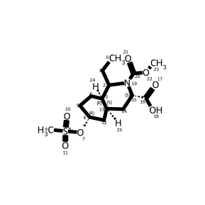 CCC1[C@@H]2CC[C@@H](OS(C)(=O)=O)C[C@@H]2C[C@@H](C(=O)O)N1C(=O)OC